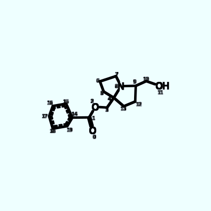 O=C(OCC12CCCN1C(CO)CC2)c1ccccc1